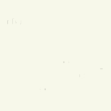 CCCCCCC(=O)OOF